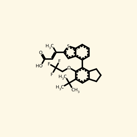 CC(=CC(=O)O)c1cc2c(-c3c4c(cc(C(C)(C)C)c3OCC(F)(F)F)CCC4)cccc2s1